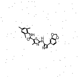 Cc1cc(C)c(NC(=O)c2sc(NC3=NC=C3c3ccc4c(c3)OCO4)nc2C)c(C)c1